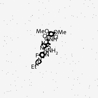 CCN1CCN(c2cc3nc(N)n(-c4ncnc5c(C(=O)Nc6c(Cl)c(OC)cc(OC)c6Cl)csc45)c3cc2F)CC1